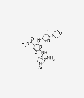 CC(=O)N1CC[C@@H](Nc2nc(Nc3cnc(N4CCOCC4)c(F)c3)c(C(N)=O)cc2F)[C@@H](N)C1